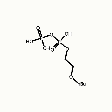 CCCCOCCOP(=O)(O)OP(=O)(O)O